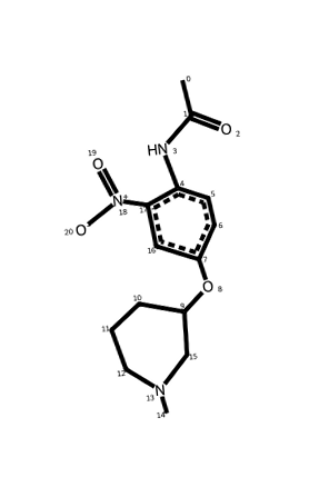 CC(=O)Nc1ccc(OC2CCCN(C)C2)cc1[N+](=O)[O-]